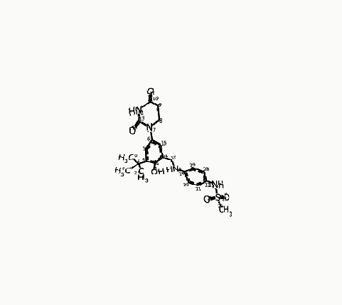 CC(C)(C)c1cc(N2CCC(=O)NC2=O)cc(CNc2ccc(NS(C)(=O)=O)cc2)c1O